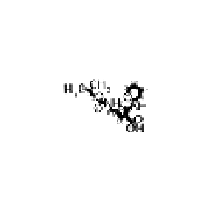 CC(C)COC(=O)NCc1cc(C(=O)O)c(NC2CCCCO2)s1